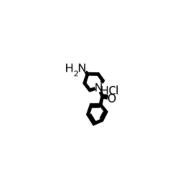 Cl.NC1CCN(C(=O)c2ccccc2)CC1